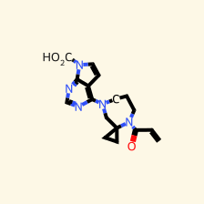 C=CC(=O)N1CCCN(c2ncnc3c2ccn3C(=O)O)CC12CC2